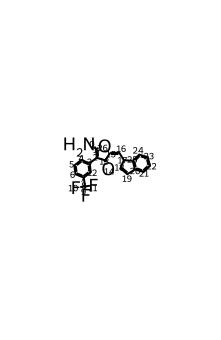 NC1=C(c2cccc(C(F)(F)F)c2)C(=O)C(=CC2C=Cc3ccccc32)O1